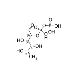 C[C@@H](O)[C@H](O)[C@H](O)[C@H](C=O)OP(=O)(O)OP(=O)(O)O